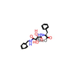 COC(=O)[C@H](Cc1ccccc1)NC(=O)[C@H](O)[C@@H](O)C(=O)NCc1ccccc1